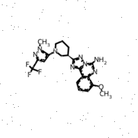 COc1cccc2c1nc(N)n1nc([C@@H]3CCCN(c4cc(C(F)(F)F)nn4C)C3)nc21